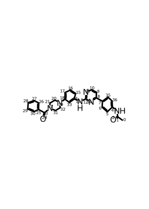 CC(=O)Nc1ccc(-c2ccnc(Nc3cccc(N4CCN(C(=O)c5ccccc5)CC4)c3)n2)cc1